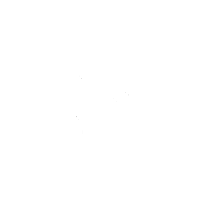 CNCc1cnccc1NN